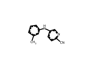 Cc1cccc(Nc2ccc(C#N)nc2)c1